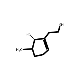 CC(C)[C@@H]1C(CCS)=CCCC1C